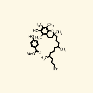 COC(=O)c1ccc(O)cc1.Cc1c(C)c2c(c(C)c1O)CC[C@@](C)(CCCC(C)CCCC(C)CCCC(C)C)O2